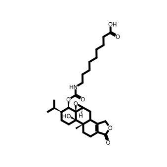 CC(C)[C@@H]1CC[C@]2(O)[C@]3(O[C@H]3CC3C4=C(CC[C@@]32C)C(=O)OC4)[C@@H]1OC(=O)NCCCCCCCCC(=O)O